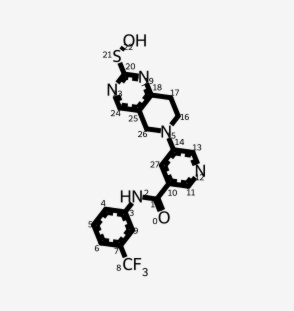 O=C(Nc1cccc(C(F)(F)F)c1)c1cncc(N2CCc3nc(SO)ncc3C2)c1